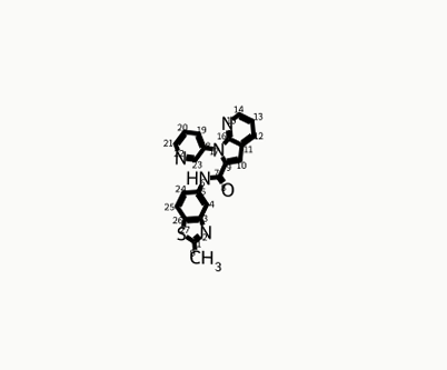 Cc1nc2cc(NC(=O)c3cc4cccnc4n3-c3cccnc3)ccc2s1